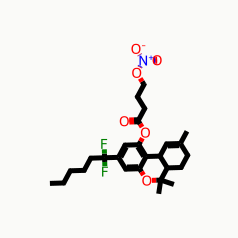 CCCCCC(F)(F)c1cc(OC(=O)CCCO[N+](=O)[O-])c2c(c1)OC(C)(C)C1CCC(C)=CC21